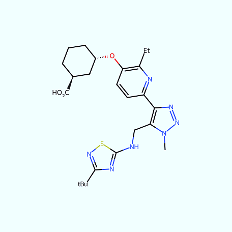 CCc1nc(-c2nnn(C)c2CNc2nc(C(C)(C)C)ns2)ccc1O[C@H]1CCC[C@H](C(=O)O)C1